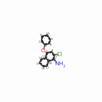 Nc1c(Cl)cc(Oc2ccccc2)c2ccccc12